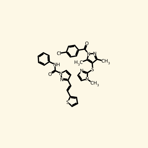 Cc1nn(C(=O)c2ccc(Cl)cc2)c(C)c1Sc1nccn1C.O=C(Nc1ccccc1)n1ccc(C=Cc2cccs2)n1